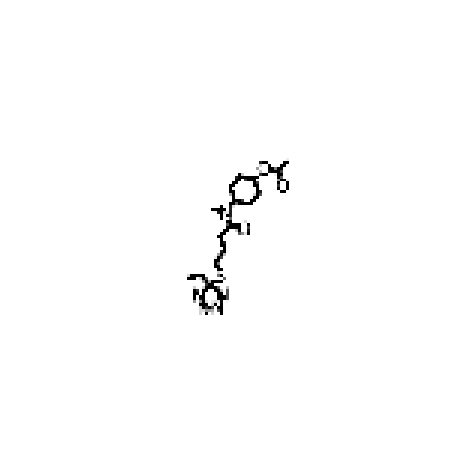 CCC1(SCCCC(=O)N(C)C2CCC(OC(C)=O)CC2)N=NN=N1